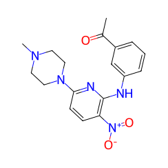 CC(=O)c1cccc(Nc2nc(N3CCN(C)CC3)ccc2[N+](=O)[O-])c1